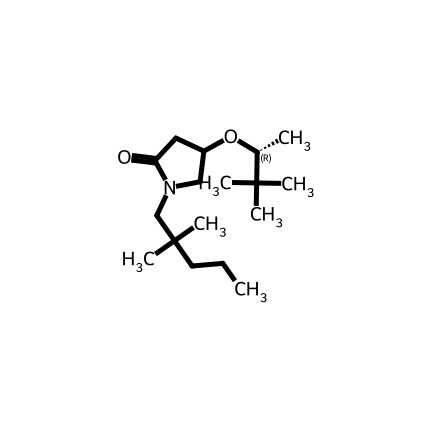 CCCC(C)(C)CN1CC(O[C@H](C)C(C)(C)C)CC1=O